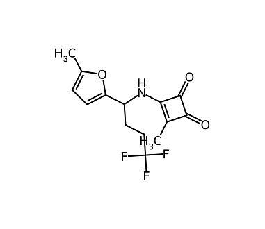 Cc1ccc(C(CCC(F)(F)F)Nc2c(C)c(=O)c2=O)o1